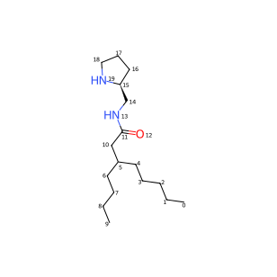 CCCCCC(CCCC)CC(=O)NC[C@@H]1CCCN1